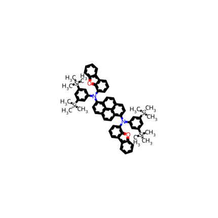 C[Si](C)(C)c1cc(N(c2ccc3ccc4c(N(c5cc([Si](C)(C)C)cc([Si](C)(C)C)c5)c5cccc6c5oc5ccccc56)ccc5ccc2c3c54)c2cccc3c2oc2ccccc23)cc([Si](C)(C)C)c1